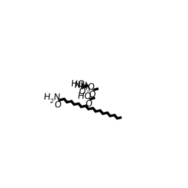 CC(=O)O.CC(=O)O.CC(=O)O.CCCCCCCCCCCCCCCCCC(N)=O.N